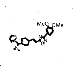 COc1ccc(-c2noc(C=CC3CCC(C(c4cccs4)N(C)C)CC3)n2)cc1OC